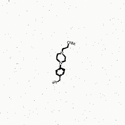 COCCN1CCN(c2ccc(C[C](C)C)cc2)CC1